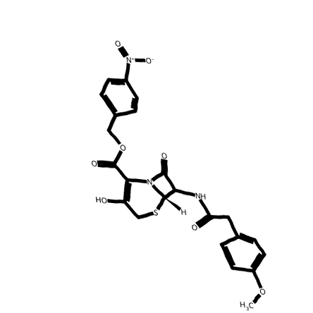 COc1ccc(CC(=O)NC2C(=O)N3C(C(=O)OCc4ccc([N+](=O)[O-])cc4)=C(O)CS[C@@H]23)cc1